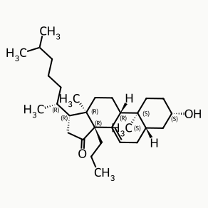 CCC[C@@]12C(=O)C[C@H]([C@H](C)CCCC(C)C)[C@@]1(C)CC[C@H]1C2=CC[C@H]2C[C@@H](O)CC[C@@]21C